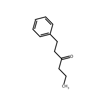 CCCC(=O)CCc1cc[c]cc1